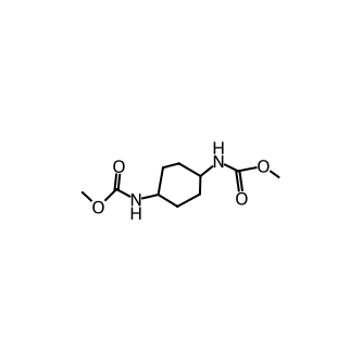 COC(=O)NC1CCC(NC(=O)OC)CC1